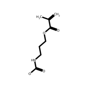 C=C(C)C(=O)OCCCNC([O])=O